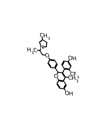 CC1=C(c2ccc(O)cc2C(F)(F)F)C(c2ccc(OCC(C)N3CCC(C)C3)cc2)Oc2ccc(O)cc21